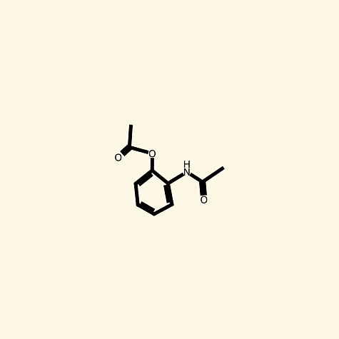 CC(=O)Nc1ccccc1OC(C)=O